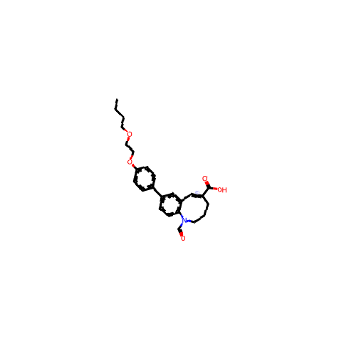 CCCCOCCOc1ccc(-c2ccc3c(c2)/C=C(/C(=O)O)CCCN3C=O)cc1